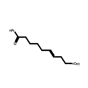 CCCCCCCCCCC=CCCCCC(=O)CCC